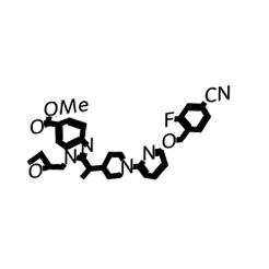 COC(=O)c1ccc2nc(C(C)C3CCN(c4cccc(OCc5ccc(C#N)cc5F)n4)CC3)n(CC3CCO3)c2c1